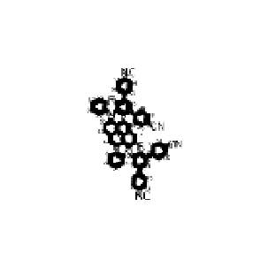 [C-]#[N+]c1ccc(-c2cc(-c3ccc(C#N)cc3)c(F)c(N(c3ccccc3)c3ccc4ccc5c(N(c6ccccc6)c6cc(-c7ccc(C#N)cc7)cc(-c7ccc([N+]#[C-])cc7)c6F)ccc6ccc3c4c65)c2)cc1